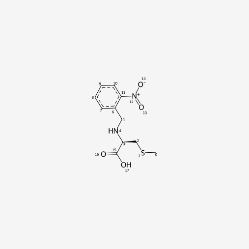 CSC[C@H](NCc1ccccc1[N+](=O)[O-])C(=O)O